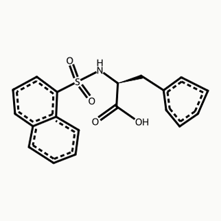 O=C(O)[C@H](Cc1ccccc1)NS(=O)(=O)c1cccc2ccccc12